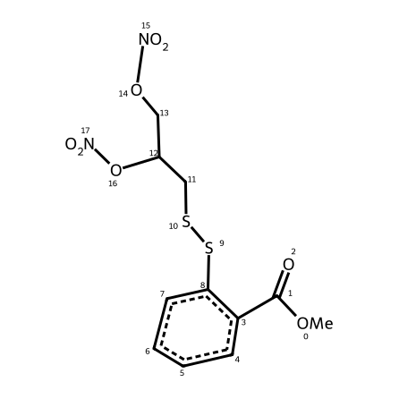 COC(=O)c1ccccc1SSCC(CO[N+](=O)[O-])O[N+](=O)[O-]